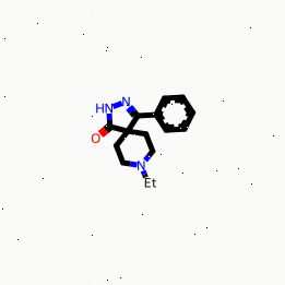 CCN1CCC2(CC1)C(=O)NN=C2c1ccccc1